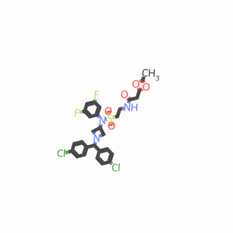 CC1OC(CC(=O)NCCS(=O)(=O)N(c2cc(F)cc(F)c2)C2CN(C(c3ccc(Cl)cc3)c3ccc(Cl)cc3)C2)O1